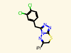 CC(C)C1=Nn2c(Cc3ccc(Cl)c(Cl)c3)nnc2SC1